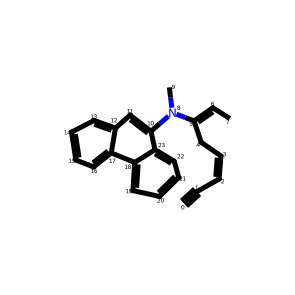 C#C/C=C\C/C(=C\C)N(C)c1cc2ccccc2c2ccccc12